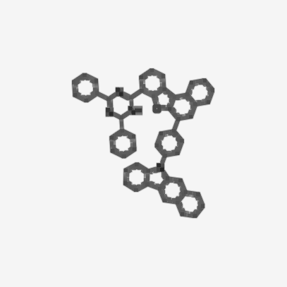 c1ccc(C2=NC(c3ccccc3)NC(c3cccc4c3oc3c(-c5ccc(-n6c7ccccc7c7cc8ccccc8cc76)cc5)cc5ccccc5c34)=N2)cc1